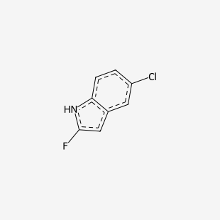 Fc1cc2cc(Cl)ccc2[nH]1